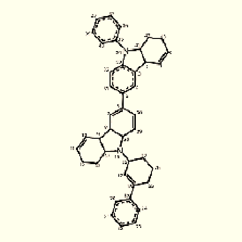 C1=CC2c3cc(C4=CC5C6C=CCCC6N(C6C=C(c7ccccc7)CCC6)C5C=C4)ccc3N(c3ccccc3)C2CC1